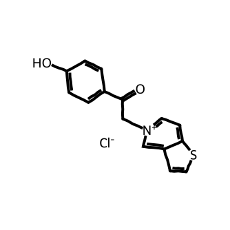 O=C(C[n+]1ccc2sccc2c1)c1ccc(O)cc1.[Cl-]